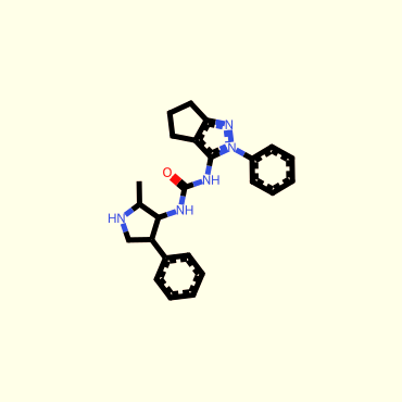 CC1NCC(c2ccccc2)C1NC(=O)Nc1c2c(nn1-c1ccccc1)CCC2